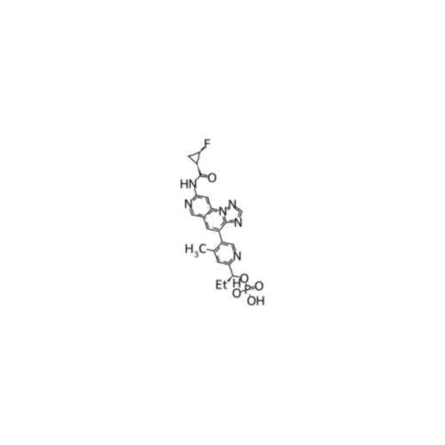 CC[C@H](OP(=O)(O)O)c1cc(C)c(-c2cc3cnc(NC(=O)[C@H]4C[C@H]4F)cc3n3ncnc23)cn1